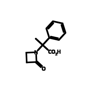 CC(C(=O)O)(c1ccccc1)N1CCC1=O